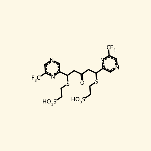 O=C(CC(SCCS(=O)(=O)O)c1cncc(C(F)(F)F)n1)CC(SCCS(=O)(=O)O)c1cncc(C(F)(F)F)n1